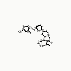 O=Cc1cnc(CN2CCC(c3cccc(OCc4ccc(Cl)cc4F)n3)CC2)n1CC1CCO1